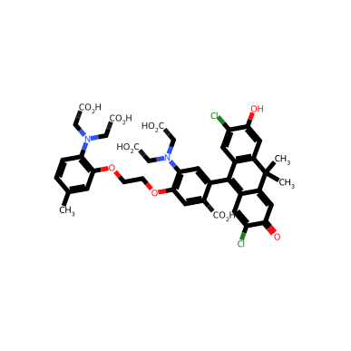 Cc1ccc(N(CC(=O)O)CC(=O)O)c(OCCOc2cc(C(=O)O)c(C3=C4C=C(Cl)C(=O)C=C4C(C)(C)c4cc(O)c(Cl)cc43)cc2N(CC(=O)O)CC(=O)O)c1